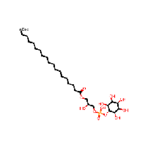 CCCCCCCCCCCCCCCCCCCCCCCCCCCC(=O)OC[C@H](O)COP(=O)(O)O[C@@H]1C(O)C(O)[C@@H](O)C(O)[C@H]1O